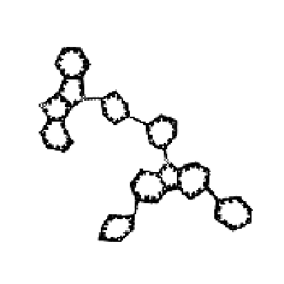 c1ccc(-c2ccc3c(c2)c2cc(-c4ccccc4)ccc2n3-c2cccc(-c3ccc(-n4c5ccccc5c5oc6ccccc6c54)cc3)c2)cc1